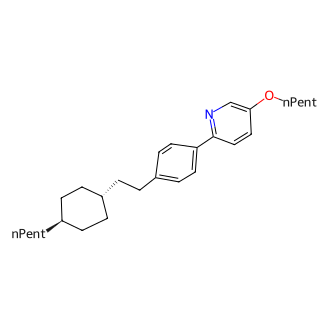 CCCCCOc1ccc(-c2ccc(CC[C@H]3CC[C@H](CCCCC)CC3)cc2)nc1